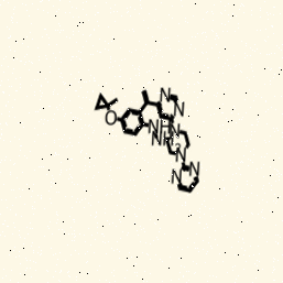 C=C(c1cc(N2CCN(c3ncccn3)CC2)ncn1)c1cc(OC2(C)CC2)ccc1NN